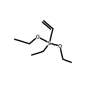 C=C[Si](CC)(OCC)OCC